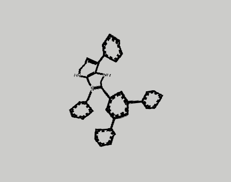 C1=C(c2ccccc2)C2=C(NC1)N(c1ccccc1)C(c1cc(-c3ccccc3)cc(-c3ccccc3)c1)N2